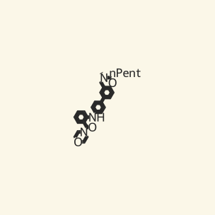 CCCCCC(=O)N(C)Cc1cccc(-c2ccc(Nc3ccccc3C(=O)N3CCOCC3)cc2)c1